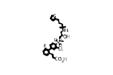 CCc1cc(-c2c(F)cccc2CCC(=O)O)ccc1S(=O)(=O)N(C)C[C@H](O)CNC(C)(C)CCCc1cccs1